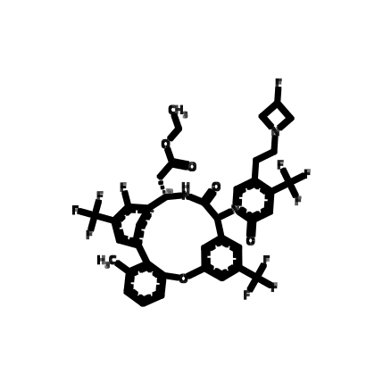 CCOC(=O)C[C@@H]1NC(=O)C(n2cc(CCN3CC(F)C3)c(C(F)(F)F)cc2=O)c2cc(cc(C(F)(F)F)c2)Oc2cccc(C)c2-c2cc1c(F)c(C(F)(F)F)c2